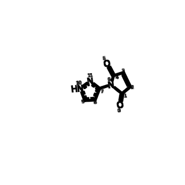 O=C1C=CC(=O)N1c1cc[nH]n1